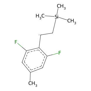 Cc1cc(F)c([CH]C[Si](C)(C)C)c(F)c1